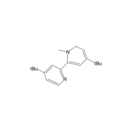 CN1CC=C(C(C)(C)C)C=C1c1cc(C(C)(C)C)ccn1